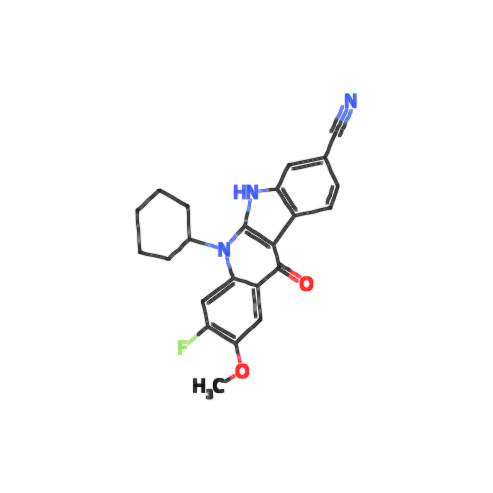 COc1cc2c(=O)c3c4ccc(C#N)cc4[nH]c3n(C3CCCCC3)c2cc1F